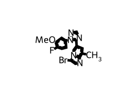 COc1cc(-n2ncnc2-c2cc(C)c3ncc(Br)n3c2)ccc1F